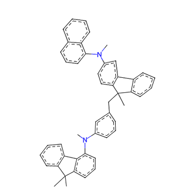 CN(c1cccc(CC2(C)c3ccccc3-c3cc(N(C)c4cccc5ccccc45)ccc32)c1)c1cccc2c1-c1ccccc1C2(C)C